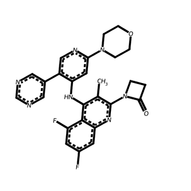 Cc1c(N2CCC2=O)nc2cc(F)cc(F)c2c1Nc1cc(N2CCOCC2)ncc1-c1cncnc1